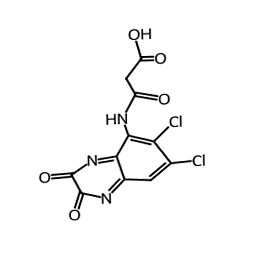 O=C(O)CC(=O)Nc1c(Cl)c(Cl)cc2c1=NC(=O)C(=O)N=2